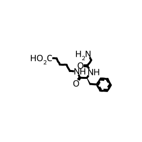 NCC(=O)N[C@@H](Cc1ccccc1)C(=O)NCCCCC(=O)O